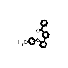 Cc1ccc(Sc2ccccc2-c2cccc(C(=O)c3ccccc3)c2)cc1